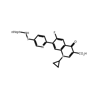 CCCCCCCNSc1ccc(-c2cc3c(cc2F)c(=O)c(C(=O)O)cn3C2CC2)nc1